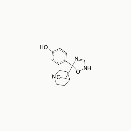 Oc1ccc(C2(C3CN4CCC3CC4)N=CNO2)cc1